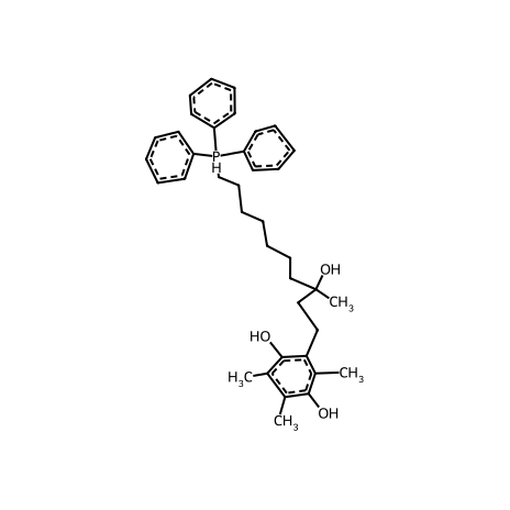 Cc1c(C)c(O)c(CCC(C)(O)CCCCCCC[PH](c2ccccc2)(c2ccccc2)c2ccccc2)c(C)c1O